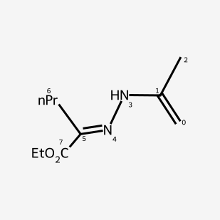 C=C(C)N/N=C(\CCC)C(=O)OCC